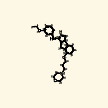 CCOc1cccc(Nc2[nH]nc3c2Cc2c(OCCCN4CCOCC4)cccc2-3)c1